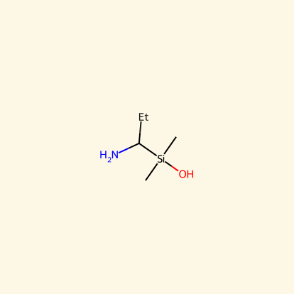 CCC(N)[Si](C)(C)O